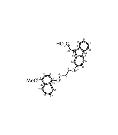 COc1ccc(OCCCOc2ccc3c4ccccc4n(CC(=O)O)c3c2)c2ccccc12